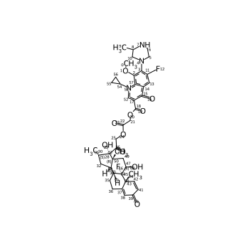 COc1c(N2CCNC(C)C2)c(F)cc2c(=O)c(C(=O)OCC(=O)OCC(=O)[C@]3(O)[C@@H](C)C[C@@H]4[C@H]5CCC6=CC(=O)C=C[C@@]6(C)[C@]5(F)[C@H](O)C[C@]43C)cn(C3CC3)c12